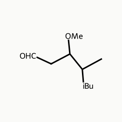 CCC(C)C(C)C(CC=O)OC